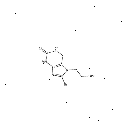 CC(C)CCn1c(Br)nc2c1CNC(=O)N2